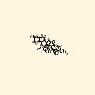 C#C[C@]1(C(Oc2cc(C)on2)C(=O)O)CCC2C3CCC4=CC(=O)CCC4C3CC[C@@]21CC